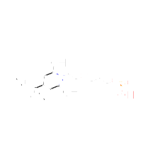 CC1=CC(=C(C#N)C#N)C=C(C)N1CCOCCCOP(O)O